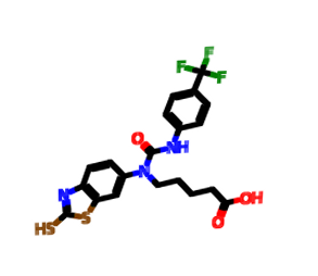 O=C(O)CCCCN(C(=O)Nc1ccc(C(F)(F)F)cc1)c1ccc2nc(S)sc2c1